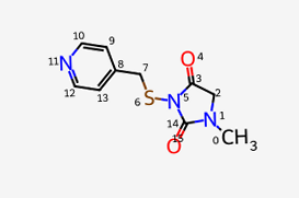 CN1CC(=O)N(SCc2ccncc2)C1=O